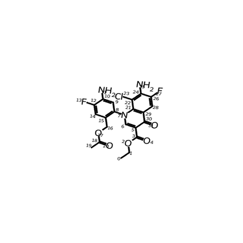 CCOC(=O)c1cn(-c2cc(N)c(F)cc2COC(C)=O)c2c(Cl)c(N)c(F)cc2c1=O